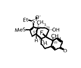 CC[S+]([O-])C1=C(SC)C[C@H]2[C@@H]3CCC4=CC(=O)C=C[C@]4(C)C3(F)[C@@H](O)C[C@]12C